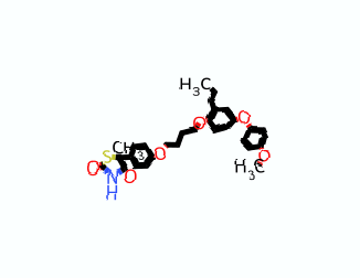 CCCc1cc(Oc2ccc(OC)cc2)ccc1OCCCCOc1ccc(C2(C)SC(=O)NC2=O)cc1